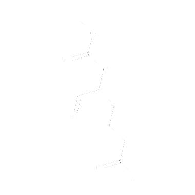 COC(=O)CC(C=O)CCCC(C)=O